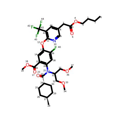 CCCCOC(=O)Cc1cnc(Oc2cc(C(=O)OC)c(N(C(=O)[C@H]3CC[C@H](C)CC3)C(COC)COC)cc2F)c(C(F)(F)F)c1